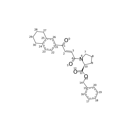 O=C(C=CC(=O)N1CCC[C@H]1C(=O)OCc1ccccc1)c1ccc2c(c1)CCCC2